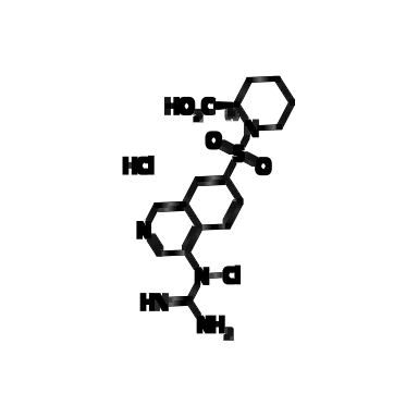 Cl.N=C(N)N(Cl)c1cncc2cc(S(=O)(=O)N3CCCC[C@@H]3C(=O)O)ccc12